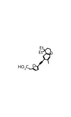 CCC1(CC)CCOc2cc(C)c(C#Cc3ccc(CC(=O)O)o3)cc21